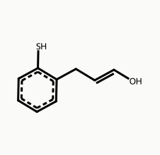 OC=CCc1ccccc1S